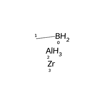 BC.[AlH3].[Zr]